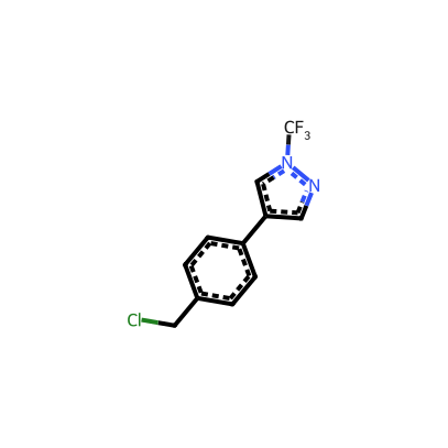 FC(F)(F)n1cc(-c2ccc(CCl)cc2)cn1